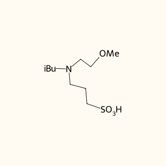 CCC(C)N(CCCS(=O)(=O)O)CCOC